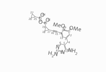 COc1cc(Cc2cnc(N)nc2N)cc(C#CC2CC2C(=O)OC(=O)C2CC2)c1OC